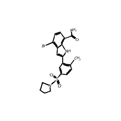 Cc1ccc(S(=O)(=O)N2CCCC2)cc1-c1cc2c(Br)ccc(C(N)=O)c2[nH]1